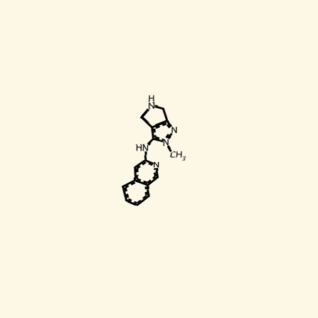 Cn1nc2c(c1Nc1cc3ccccc3cn1)CNC2